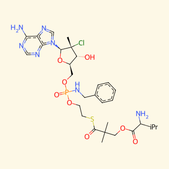 CC(C)C(N)C(=O)OCC(C)(C)C(=O)SCCOP(=O)(NCc1ccccc1)OC[C@H]1O[C@@H](n2cnc3c(N)ncnc32)[C@](C)(Cl)[C@@H]1O